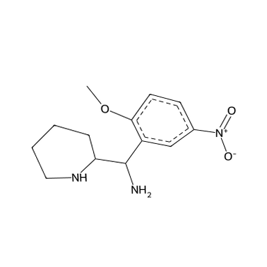 COc1ccc([N+](=O)[O-])cc1C(N)C1CCCCN1